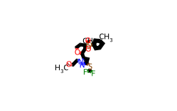 COCCn1nc(SC(F)F)cc1C1CC(C)(S(=O)(=O)c2cccc(C)c2)CCO1